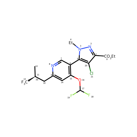 CCOC(=O)c1nn(CC)c(-c2cnc(C[C@H](C)C(F)(F)F)cc2OC(F)F)c1Cl